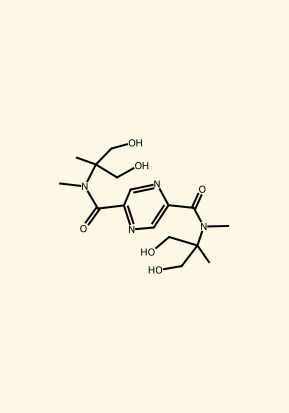 CN(C(=O)c1cnc(C(=O)N(C)C(C)(CO)CO)cn1)C(C)(CO)CO